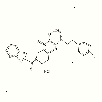 COn1c(NCCc2ccc(Cl)cc2)nc2c(c1=O)CN(C(=O)c1cc3cccnc3s1)CC2.Cl